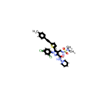 Cc1ccc(C#Cc2ccc(-c3c(CNS(=O)(=O)N(C)C)c(C(=O)NN4CCCCC4)nn3-c3ccc(Cl)cc3Cl)s2)cc1